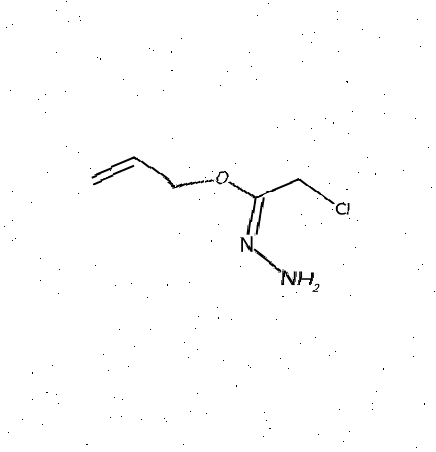 C=CCOC(CCl)=NN